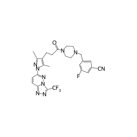 Cc1nn(-c2ccc3nnc(C(F)(F)F)n3n2)c(C)c1CCC(=O)N1CCN(Cc2cc(F)cc(C#N)c2)CC1